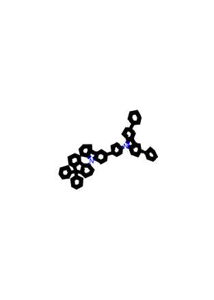 c1ccc(-c2ccc3c(c2)c2cc(-c4ccccc4)ccc2n3-c2ccc(-c3ccc4c(c3)c3ccccc3n4-c3cccc4c3-c3ccccc3C4(c3ccccc3)c3ccccc3)cc2)cc1